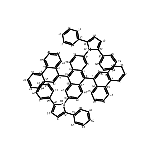 C1=Cc2c(cc(-c3c4cc(-n5c(-c6ccccc6)ccc5-c5ccccc5)ccc4c(-c4cc5ccccc5c5ccccc45)c4cc(-n5c(-c6ccccc6)ccc5-c5ccccc5)ccc34)c3ccccc23)CC1